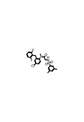 Cc1cc(C)cc(S(=O)(=O)NCC(=O)N(C)c2ccc(Cl)cc2Cc2c(F)cccc2F)c1